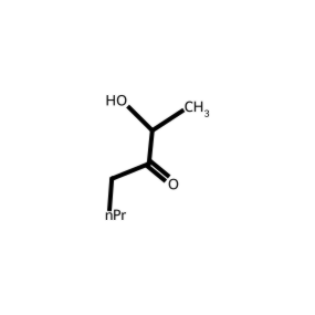 CCCCC(=O)C(C)O